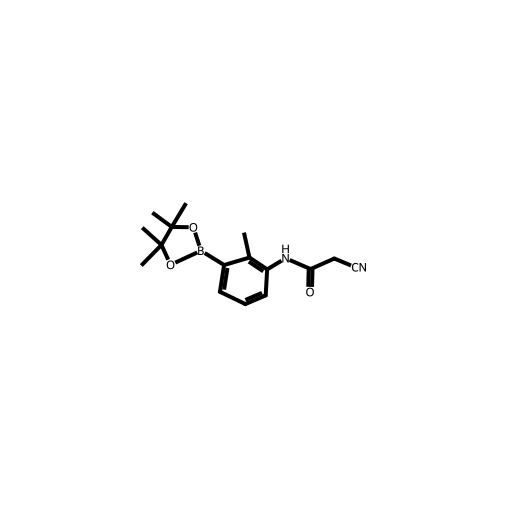 Cc1c(NC(=O)CC#N)cccc1B1OC(C)(C)C(C)(C)O1